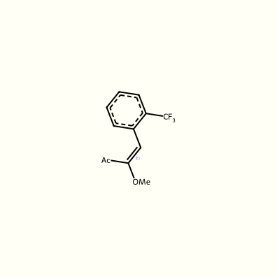 CO/C(=C/c1ccccc1C(F)(F)F)C(C)=O